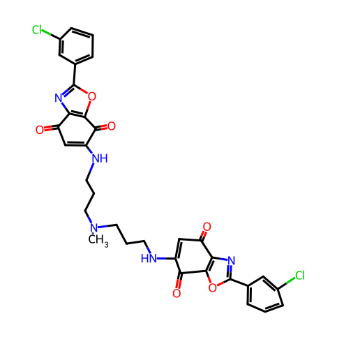 CN(CCCNC1=CC(=O)c2nc(-c3cccc(Cl)c3)oc2C1=O)CCCNC1=CC(=O)c2nc(-c3cccc(Cl)c3)oc2C1=O